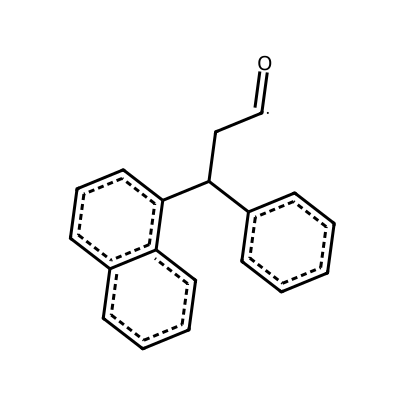 O=[C]CC(c1ccccc1)c1cccc2ccccc12